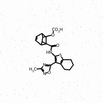 Cc1noc(-c2c(NC(=O)C3C4C=CC(CC4)C3OC(=O)O)sc3c2CCCC3)n1